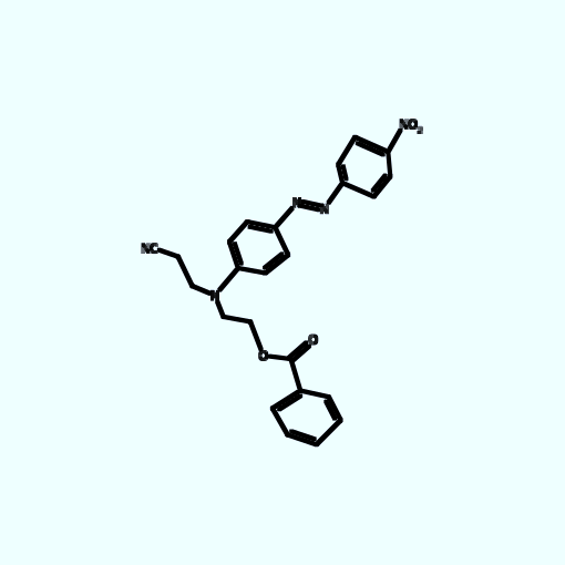 N#CCCN(CCOC(=O)c1ccccc1)c1ccc(N=Nc2ccc([N+](=O)[O-])cc2)cc1